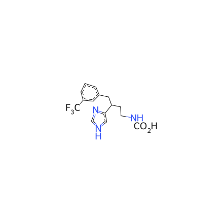 O=C(O)NCCC(Cc1cccc(C(F)(F)F)c1)c1c[nH]cn1